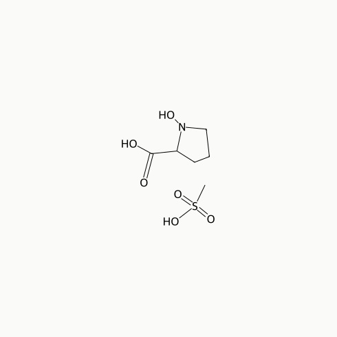 CS(=O)(=O)O.O=C(O)C1CCCN1O